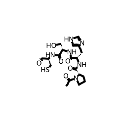 CC(=O)N1CCC[C@H]1C(=O)N[C@@H](Cc1c[nH]cn1)C(=O)N[C@@H](CO)C(=O)N[C@H]([C]=O)CS